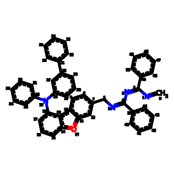 C=N/C(=N\C(=N/Cc1ccc2c(c1)oc1cccc(N(c3ccccc3)c3cccc(-c4ccccc4)c3)c12)c1ccccc1)c1ccccc1